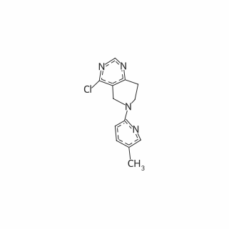 Cc1ccc(N2CCc3ncnc(Cl)c3C2)nc1